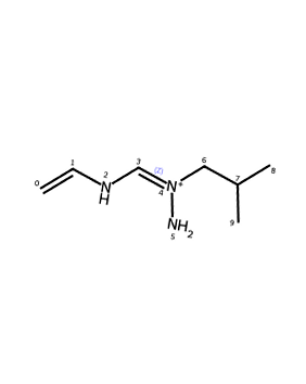 C=CN/C=[N+](\N)CC(C)C